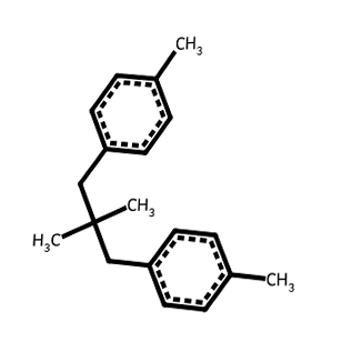 Cc1ccc(CC(C)(C)Cc2ccc(C)cc2)cc1